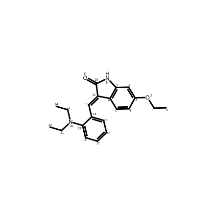 CCOc1ccc2c(c1)NC(=O)/C2=C/c1ccccc1N(CC)CC